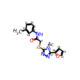 CC(=O)n1c(SCC(=O)Nc2cccc(C)c2)nnc1-c1ccco1